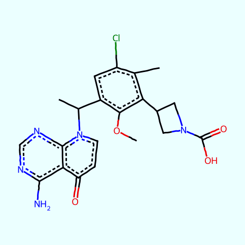 COc1c(C(C)n2ccc(=O)c3c(N)ncnc32)cc(Cl)c(C)c1C1CN(C(=O)O)C1